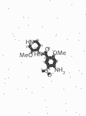 COc1cc(N)c([S+](C)[O-])cc1C(=O)N[C@@H]1CCNC[C@@H]1OC